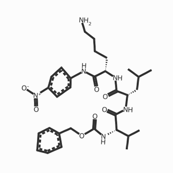 CC(C)C[C@H](NC(=O)[C@@H](NC(=O)OCc1ccccc1)C(C)C)C(=O)N[C@@H](CCCCN)C(=O)Nc1ccc([N+](=O)[O-])cc1